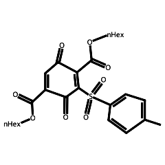 CCCCCCOC(=O)C1=CC(=O)C(C(=O)OCCCCCC)=C(S(=O)(=O)c2ccc(C)cc2)C1=O